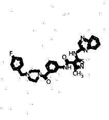 Cc1nsc(Nc2cnc3ccccc3n2)c1C(=O)Nc1cccc(C(=O)N2CCN(Cc3ccc(F)cc3)CC2)c1